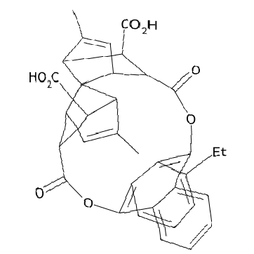 CCc1cccc2c3c4ccccc4c(c12)OC(=O)C1C(C(=O)O)C2C(C)=CC1C21C2C=C(C)C1C(C(=O)O)C2C(=O)O3